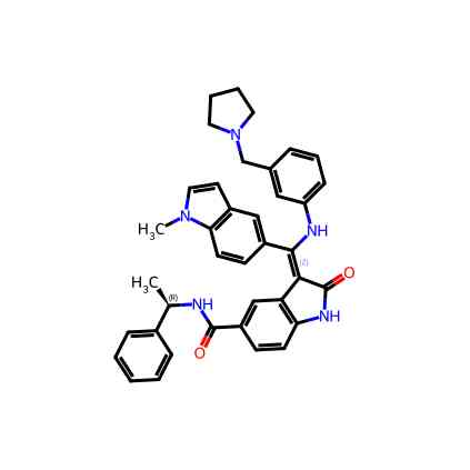 C[C@@H](NC(=O)c1ccc2c(c1)/C(=C(/Nc1cccc(CN3CCCC3)c1)c1ccc3c(ccn3C)c1)C(=O)N2)c1ccccc1